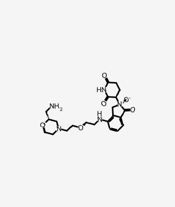 NC[C@H]1CN(CCOCCNc2cccc3c2C[N+]([O-])(C2CCC(=O)NC2=O)C3=O)CCO1